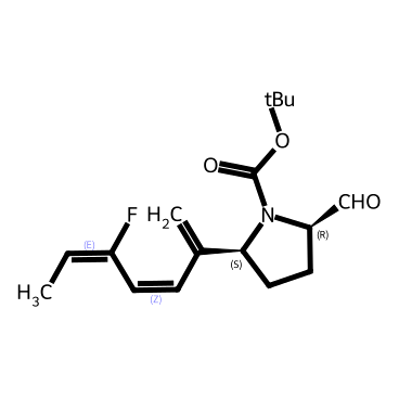 C=C(/C=C\C(F)=C/C)[C@@H]1CC[C@H](C=O)N1C(=O)OC(C)(C)C